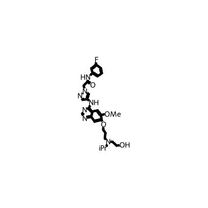 COc1cc2c(Nc3cnn(CC(=O)Nc4cccc(F)c4)c3)ncnc2cc1OCCCN(CCO)C(C)C